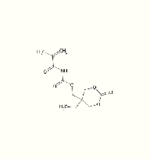 C=C(C)C(=O)NC(=O)OCC1(CC)COC(=O)OC1